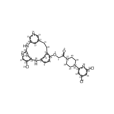 O=C(COc1ccc2cc1CCc1cncc(c1)Nc1ncc(Cl)c(n1)N2)N1CCN(c2cc(Cl)cc(Cl)n2)CC1